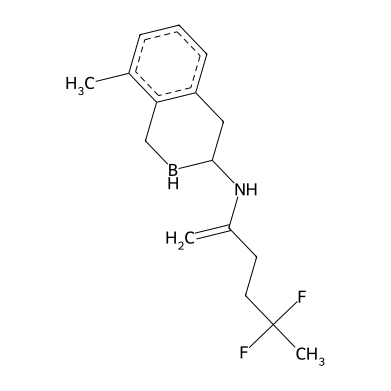 C=C(CCC(C)(F)F)NC1BCc2c(C)cccc2C1